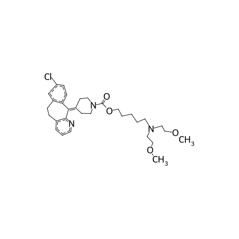 COCCN(CCCCCOC(=O)N1CCC(=C2c3ccc(Cl)cc3CCc3cccnc32)CC1)CCOC